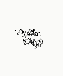 C=N/C=C(/c1nccc(N2CCN3CCOCC3C2)n1)N1C=C(C(F)(F)F)N=CC1